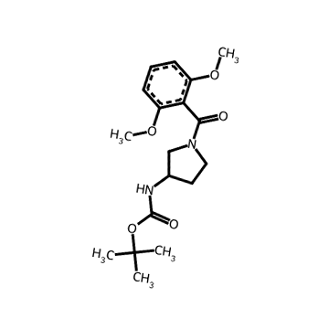 COc1cccc(OC)c1C(=O)N1CCC(NC(=O)OC(C)(C)C)C1